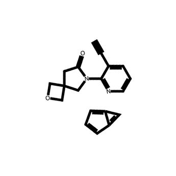 C#Cc1cccnc1N1CC2(COC2)CC1=O.c1cc2cc-2c1